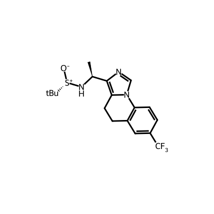 C[C@H](N[S@@+]([O-])C(C)(C)C)c1ncn2c1CCc1cc(C(F)(F)F)ccc1-2